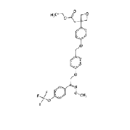 CCOC(=O)CC1(c2ccc(OCc3ccc(OCC(=NOC)c4ccc(OC(F)(F)F)cc4)cc3)cc2)COC1